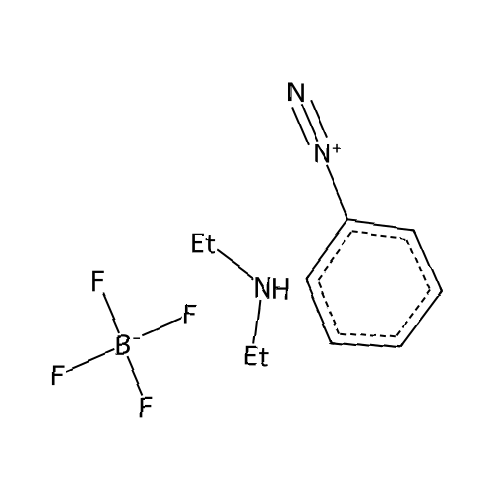 CCNCC.F[B-](F)(F)F.N#[N+]c1ccccc1